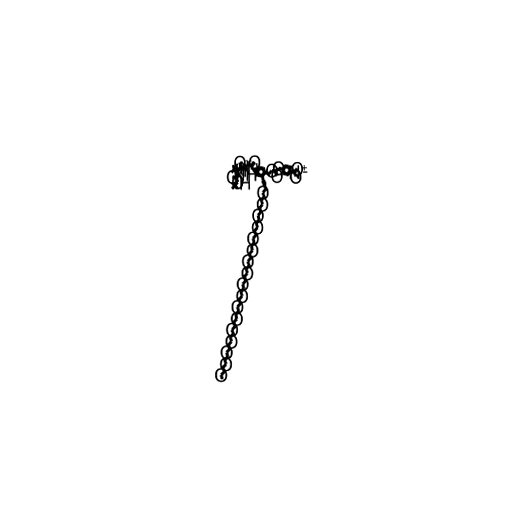 COCCOCCOCCOCCOCCOCCOCCOCCOCCOCCOCCOCCOCCOCCOCCOCCOCC#Cc1cc(NC(=O)[C@H](C)NC(=O)[C@@H](NC(=O)OC(C)(C)C)C(C)C)ccc1COC(=O)Oc1ccc([N+](=O)[O-])cc1